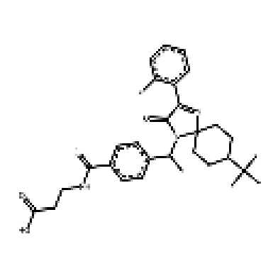 CC(c1ccc(C(=O)NCCC(=O)O)cc1)N1C(=O)C(c2ccccc2F)=NC12CCC(C(C)(C)C)CC2